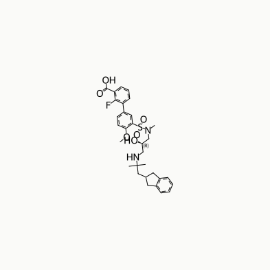 COc1ccc(-c2cccc(C(=O)O)c2F)cc1S(=O)(=O)N(C)C[C@H](O)CNC(C)(C)CC1Cc2ccccc2C1